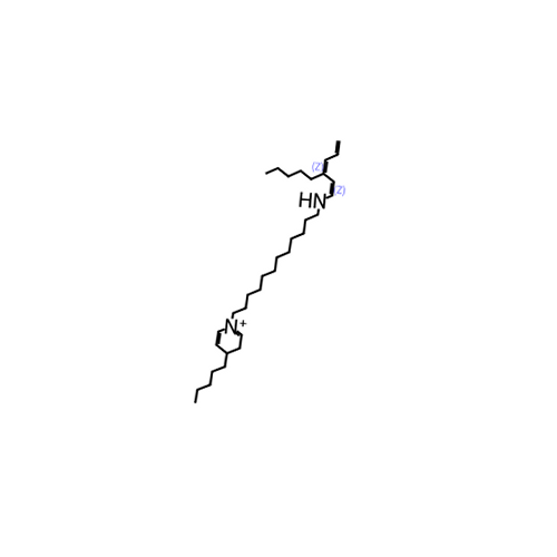 C=C/C=C(\C=C/NCCCCCCCCCCCC[N+]1=CCC(CCCCC)C=C1)CCCCC